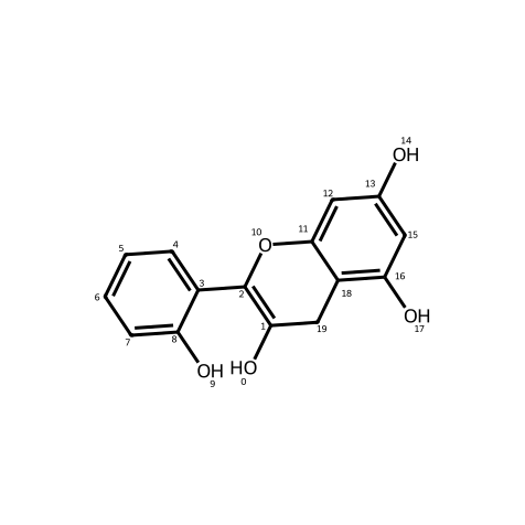 OC1=C(c2ccccc2O)Oc2cc(O)cc(O)c2C1